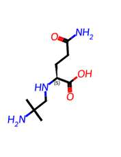 CC(C)(N)CN[C@@H](CCC(N)=O)C(=O)O